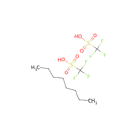 CCCCCCCC.O=S(=O)(O)C(F)(F)F.O=S(=O)(O)C(F)(F)F